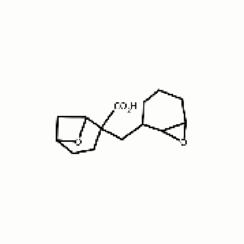 O=C(O)C1(CC2CCCC3OC23)CCC2CC1O2